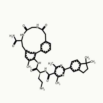 Cc1cc2cc(c1NC(=O)[C@H](CCN)NC(=O)c1c(C)nc(-c3ccc4c(c3)CCC4(C)C)nc1C)-c1cccc(c1)CC(=O)NCC(=O)NC(C(N)=O)C2